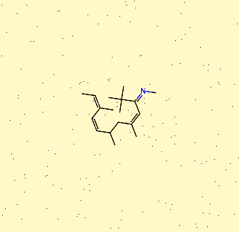 C/C=C(C)\C=C/C(C)C/C(C)=C\C(=N/C)C(C)(C)C